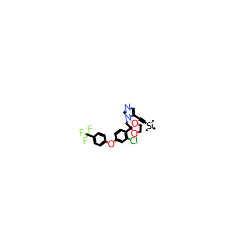 C[Si](C)(C)C#Cc1cncn1CC1(c2ccc(Oc3ccc(C(F)(F)F)cc3)cc2Cl)OCCO1